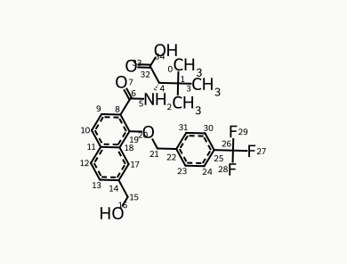 CC(C)(C)[C@H](NC(=O)c1ccc2ccc(CO)cc2c1OCc1ccc(C(F)(F)F)cc1)C(=O)O